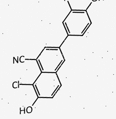 N#Cc1cc(-c2ccc(O)c(F)c2)cc2ccc(O)c(Cl)c12